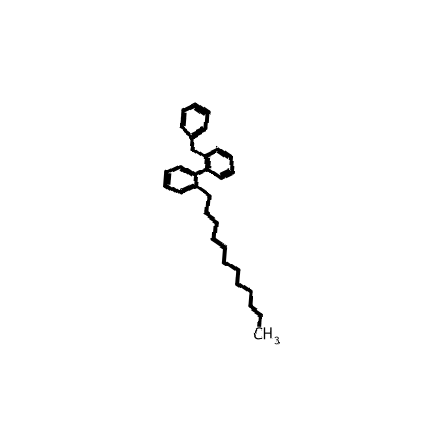 CCCCCCCCCCCCc1ccccc1-c1ccc[c]c1Cc1ccccc1